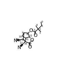 CCC(C)(C)C(=O)OC1C2CC3C1OC(=O)C3(C#N)C2C#N